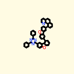 c1ccc(-c2nc(-c3ccccc3)nc(-c3ccc4oc5cccc(-c6ccc7oc8ccc(-c9cccc%10ccc%11cccnc%11c9%10)cc8c7c6)c5c4c3)n2)cc1